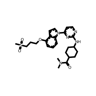 CN(C)C(=O)C1CCC(Nc2nccc(-n3ccc4c(OCCCS(C)(=O)=O)cccc43)n2)CC1